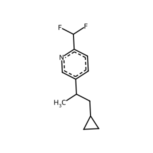 CC(CC1CC1)c1ccc(C(F)F)nc1